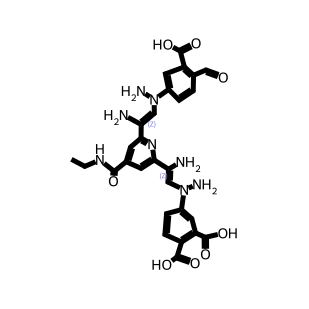 CCNC(=O)c1cc(/C(N)=C/N(N)c2ccc(C=O)c(C(=O)O)c2)nc(/C(N)=C/N(N)c2ccc(C(=O)O)c(C(=O)O)c2)c1